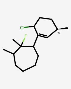 CC1CCCCC(C2=C[C@H](C)CCC2Cl)C1(C)F